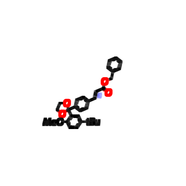 COc1ccc(C(C)(C)C)cc1C1(c2ccc(/C=C/C(=O)OCc3ccccc3)cc2)OCCO1